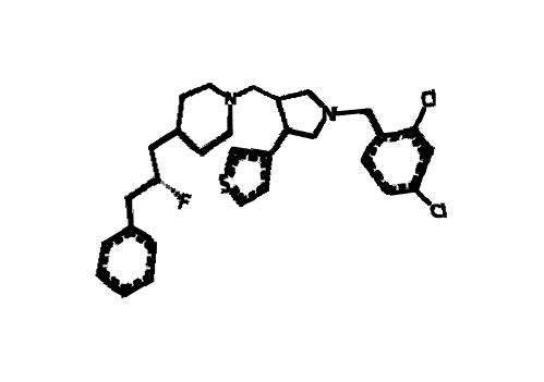 F[C@H](Cc1ccccc1)CC1CCN(CC2CN(Cc3ccc(Cl)cc3Cl)CC2c2ccsc2)CC1